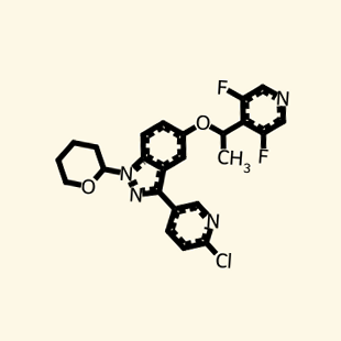 CC(Oc1ccc2c(c1)c(-c1ccc(Cl)nc1)nn2C1CCCCO1)c1c(F)cncc1F